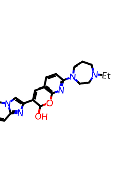 CCN1CCCN(c2ccc3c(n2)OC(O)C(c2cn4ccccc4n2)=C3)CC1